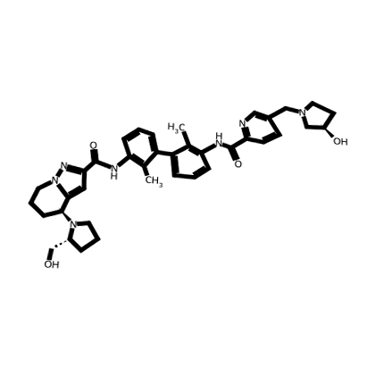 Cc1c(NC(=O)c2ccc(CN3CC[C@@H](O)C3)cn2)cccc1-c1cccc(NC(=O)c2cc3n(n2)CCC[C@@H]3N2CCC[C@@H]2CO)c1C